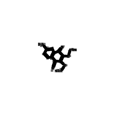 CCCCCCOC1=C(OCCCCCC)C(=O)c2cc(N)ccc2C1=O